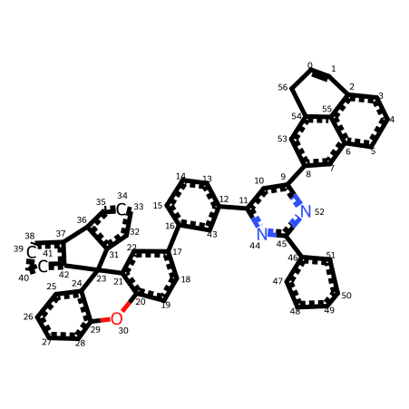 C1=Cc2cccc3cc(-c4cc(-c5cccc(-c6ccc7c(c6)C6(c8ccccc8O7)c7ccccc7-c7ccccc76)c5)nc(-c5ccccc5)n4)cc(c23)C1